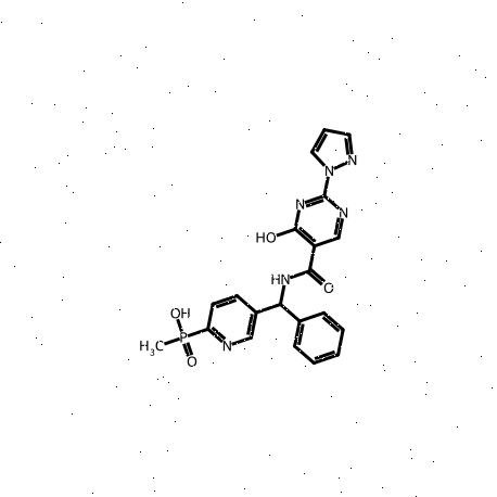 CP(=O)(O)c1ccc(C(NC(=O)c2cnc(-n3cccn3)nc2O)c2ccccc2)cn1